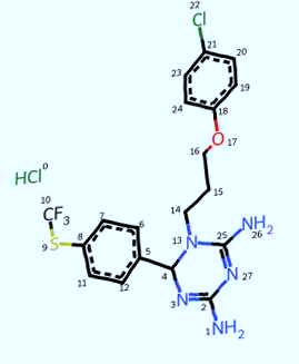 Cl.NC1=NC(c2ccc(SC(F)(F)F)cc2)N(CCCOc2ccc(Cl)cc2)C(N)=N1